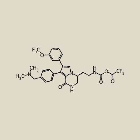 CN(C)Cc1ccc(-c2c(-c3cccc(OC(F)(F)F)c3)cn3c2C(=O)NC[C@@H]3CCNC(=O)OC(=O)C(F)(F)F)cc1